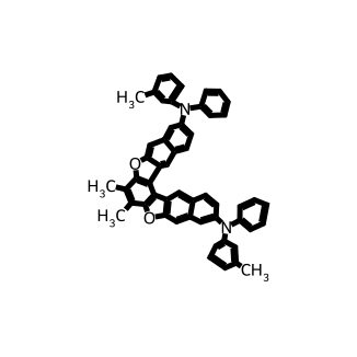 Cc1cccc(N(c2ccccc2)c2ccc3cc4c(cc3c2)oc2c(C)c(C)c3oc5cc6cc(N(c7ccccc7)c7cccc(C)c7)ccc6cc5c3c24)c1